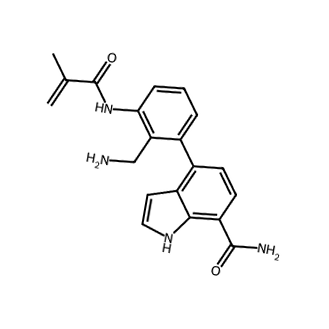 C=C(C)C(=O)Nc1cccc(-c2ccc(C(N)=O)c3[nH]ccc23)c1CN